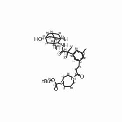 Cc1cc(CCC(=O)N2CCCN(C(=O)OC(C)(C)C)CC2)cc(C(C)(C)C(=O)N[C@H]2[C@@H]3CC4C[C@H]2C[C@](O)(C4)C3)c1